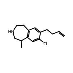 C=CCCc1cc2c(cc1Cl)C(C)CNCC2